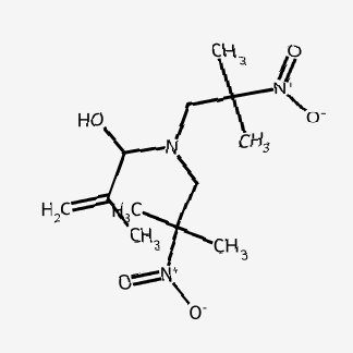 C=C(C)C(O)N(CC(C)(C)[N+](=O)[O-])CC(C)(C)[N+](=O)[O-]